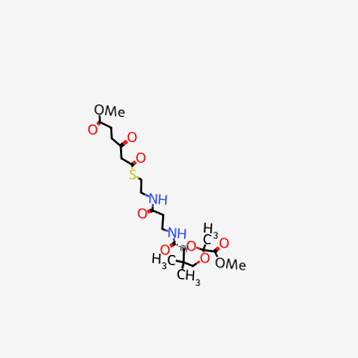 COC(=O)CCC(=O)CC(=O)SCCNC(=O)CCNC(=O)[C@@H]1OC(C)(C(=O)OC)OCC1(C)C